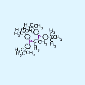 CC(CC(C)P(c1ccc(C(C)(C)C)cc1)c1ccc(C(C)(C)C)cc1)P(c1ccc(C(C)(C)C)cc1)c1ccc(C(C)(C)C)cc1